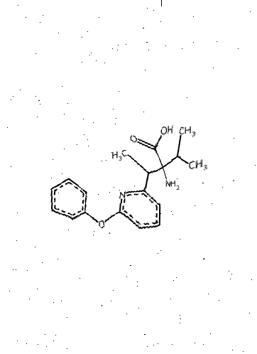 CC(C)C(N)(C(=O)O)C(C)c1cccc(Oc2ccccc2)n1